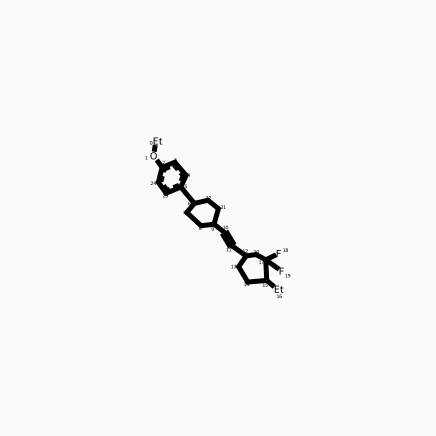 CCOc1ccc(C2CCC(C#CC3CCC(CC)C(F)(F)C3)CC2)cc1